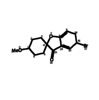 COC1CCC2(CC1)OC1=CCC(Br)C=C1C2=O